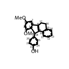 COc1cc(OC)c2c(c1)C1=C(c3ccccc3CC1)C2c1ccc(O)cc1